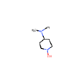 CC(C)N(C)C1CCN(O)CC1